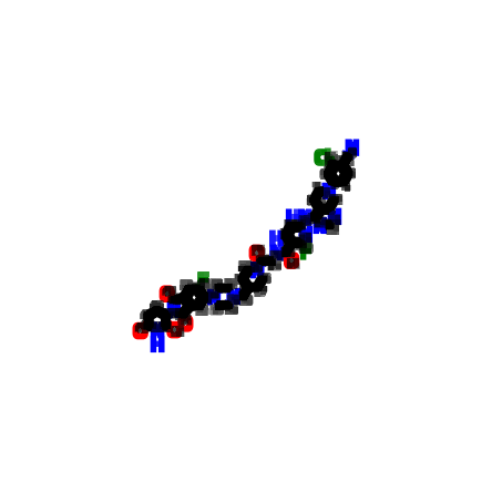 N#Cc1ccc(N2CCc3c(ncnc3Nc3ccc(C(=O)NCC(=O)N4CCC(CN5CCN(c6cc7c(cc6F)C(=O)N(C6CCC(=O)NC6=O)C7=O)CC5)CC4)c(F)n3)C2)cc1Cl